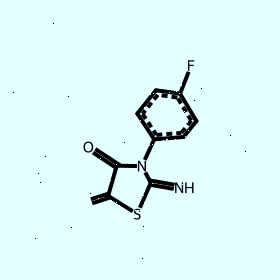 C=C1SC(=N)N(c2ccc(F)cc2)C1=O